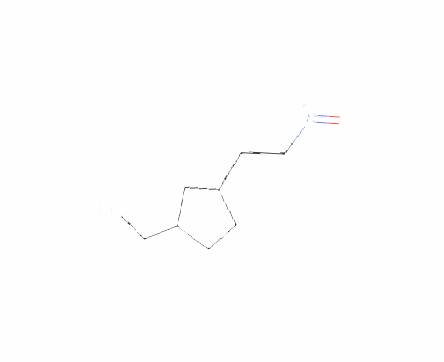 CCC1CCC(CCN=O)C1